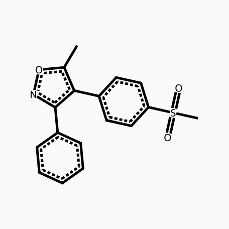 Cc1onc(-c2ccccc2)c1-c1ccc(S(C)(=O)=O)cc1